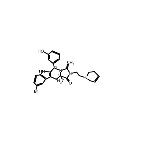 C=C1N(CCN2CC=CCC2)C(=O)[C@]2(C)Cc3c([nH]c4ccc(Br)cc34)[C@@H](c3cccc(O)c3)N12